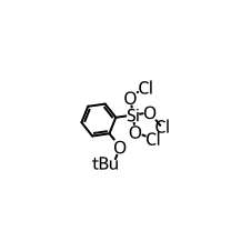 CC(C)(C)Oc1ccccc1[Si](OCl)(OCl)OCl